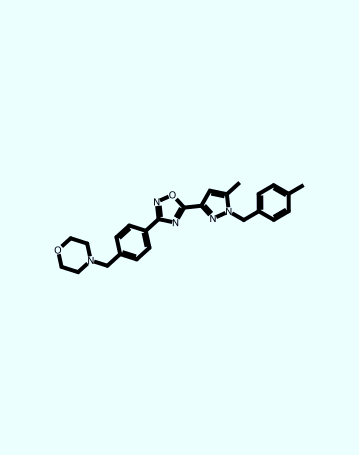 Cc1ccc(Cn2nc(-c3nc(-c4ccc(CN5CCOCC5)cc4)no3)cc2C)cc1